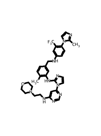 Cc1ccc(CNc2ccc(-n3ccnc3C)c(C(F)(F)F)c2)cc1Nc1nccn1-c1cc(NCCN2CCOCC2)ncn1